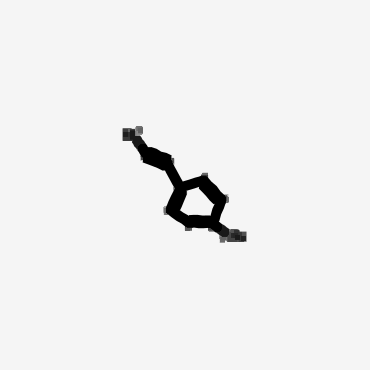 CCC#Cc1ccc(C(C)(C)C)cc1